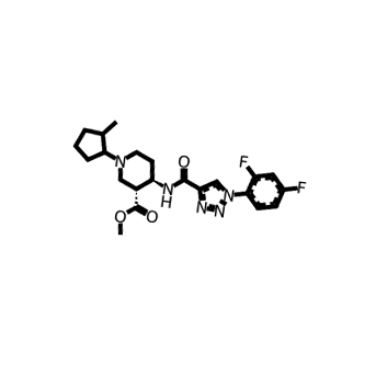 COC(=O)[C@@H]1CN(C2CCCC2C)CC[C@H]1NC(=O)c1cn(-c2ccc(F)cc2F)nn1